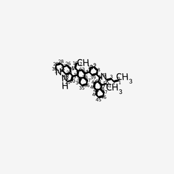 C\C=C/C=C/N=C(/c1cccc(-c2cc(/C=C\C)c(C3=CCNC4=C3C=CC3C=CC=NC43)c3ccccc23)c1)c1ccc2ccccc2c1CC